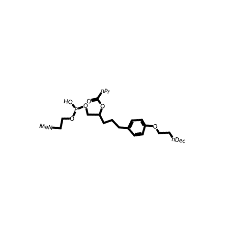 CCCCCCCCCCCCOc1ccc(CCCC(COP(O)OCCNC)OC(=O)CCC)cc1